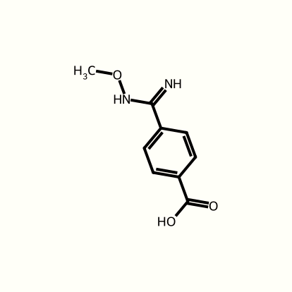 CONC(=N)c1ccc(C(=O)O)cc1